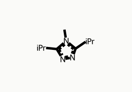 CC(C)c1nnc(C(C)C)n1C